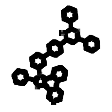 C1=C(c2ccc(-c3cccc(-n4c(-c5ccccc5)nc5c6cnccc6c6ccccc6c54)c3)cc2)NC(c2ccccc2)N=C1c1ccccc1